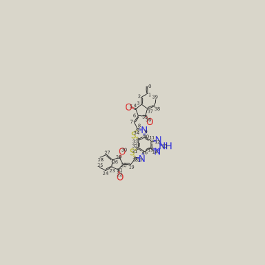 C=C/C=C1/C(=O)/C(=C/c2nc3c4n[nH]nc4c4nc(C=C5C(=O)C(=C/C)/C(=C\C)C5=O)sc4c3s2)C(=O)/C1=C/C